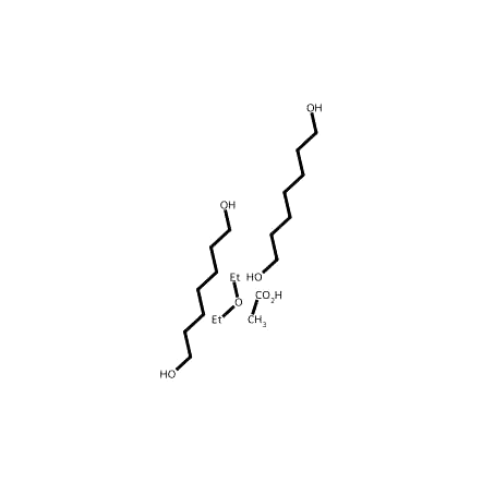 CC(=O)O.CCOCC.OCCCCCCCO.OCCCCCCCO